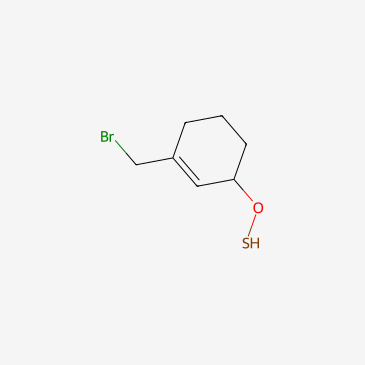 SOC1C=C(CBr)CCC1